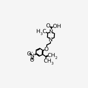 C=C(C)c1cc([N+](=O)[O-])ccc1OCCN1CCN(C(=O)O)C(C)C1